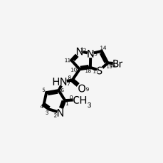 Cc1ncccc1NC(=O)c1cnn2cc(Br)sc12